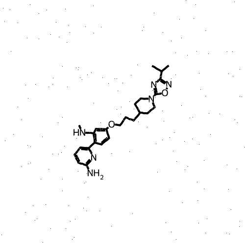 CNc1cc(OCCCC2CCN(c3nc(C(C)C)no3)CC2)ccc1-c1cccc(N)n1